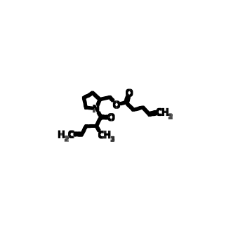 C=CCCC(=O)OCC1CCCN1C(=O)C(C)CC=C